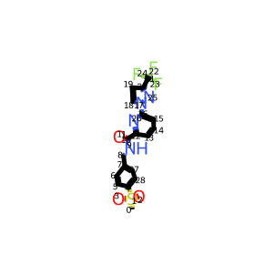 CS(=O)(=O)c1ccc(CNC(=O)c2cccc(-n3ccc(C(F)(F)F)n3)n2)cc1